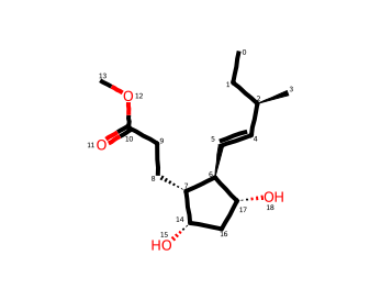 CC[C@@H](C)/C=C/[C@@H]1[C@@H](CCC(=O)OC)[C@@H](O)C[C@H]1O